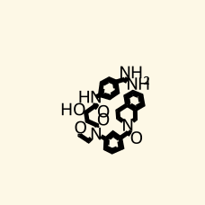 N=C(N)c1ccc(NC(=O)[C@H](O)[C@H]2OCCN(c3cccc(C(=O)N4CCc5ccccc5C4)c3)C2=O)cc1